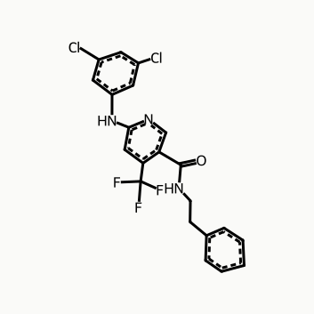 O=C(NCCc1ccccc1)c1cnc(Nc2cc(Cl)cc(Cl)c2)cc1C(F)(F)F